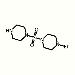 CCN1CCN(S(=O)(=O)N2CCNCC2)CC1